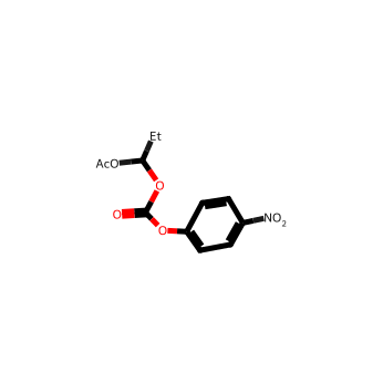 CCC(OC(C)=O)OC(=O)Oc1ccc([N+](=O)[O-])cc1